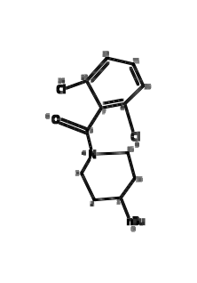 CCCCC1CCN(C(=O)c2c(Cl)cccc2Cl)CC1